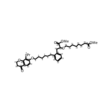 CCCc1c(OCCCCCCc2ccccc2CC(OCCCCCCCC(=O)OC)C(=O)OC)ccc2c1OCCC2=O